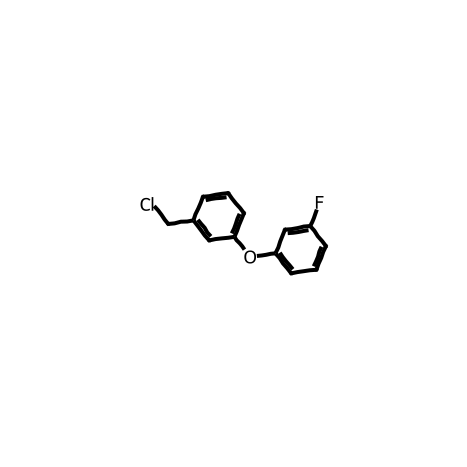 Fc1cccc(Oc2cccc(CCl)c2)c1